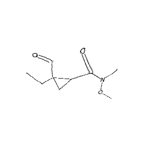 CCC1([C]=O)CC1C(=O)N(C)OC